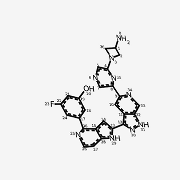 NC1CN(c2cncc(-c3cc4c(-c5cc6c(-c7cc(O)cc(F)c7)nccc6[nH]5)n[nH]c4cn3)n2)C1